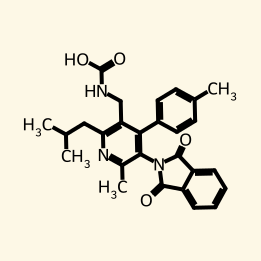 Cc1ccc(-c2c(CNC(=O)O)c(CC(C)C)nc(C)c2N2C(=O)c3ccccc3C2=O)cc1